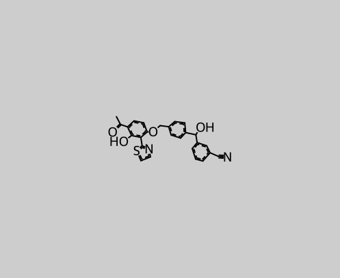 CC(=O)c1ccc(OCc2ccc(C(O)c3cccc(C#N)c3)cc2)c(-c2nccs2)c1O